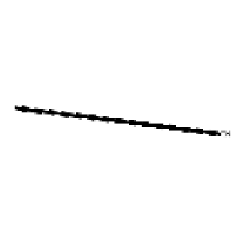 CC#CC#CC#CC#CC#CC#CC#CC#CC#CC#CC#CC#CC#CC#CC#CC#N